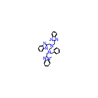 Cn1c(CN(CCN(Cc2nc3ccccc3n2C)Cc2nc3ccccc3n2C)Cc2ccccc2)nc2ccccc21